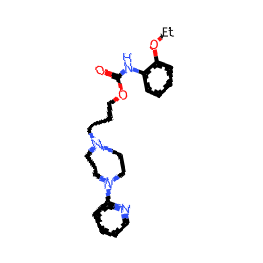 CCOc1ccccc1NC(=O)OCCCN1CCN(c2ccccn2)CC1